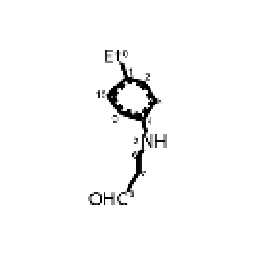 CCc1ccc(NCCC=O)cc1